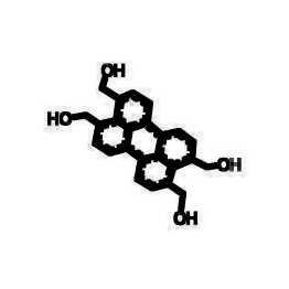 OCc1ccc2c3ccc(CO)c4c(CO)ccc(c5ccc(CO)c1c25)c43